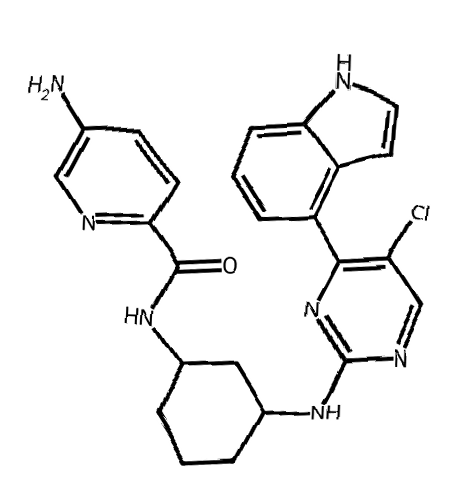 Nc1ccc(C(=O)NC2CCCC(Nc3ncc(Cl)c(-c4cccc5[nH]ccc45)n3)C2)nc1